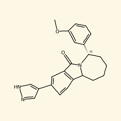 COc1cccc([C@@H]2CCCCC3c4ccc(-c5cn[nH]c5)cc4C(=O)N32)c1